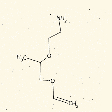 C=COCC(C)OCCN